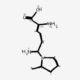 CC1CCCN1C(N)CCC(N)C(=O)O